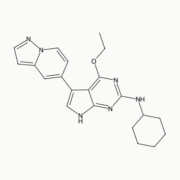 CCOc1nc(NC2CCCCC2)nc2[nH]cc(-c3ccn4nccc4c3)c12